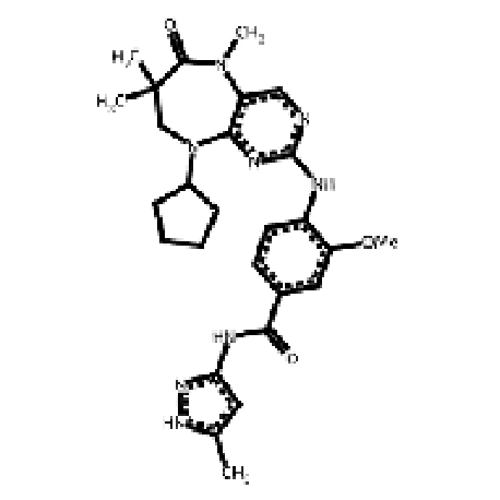 COc1cc(C(=O)Nc2cc(C)[nH]n2)ccc1Nc1ncc2c(n1)N(C1CCCC1)CC(C)(C)C(=O)N2C